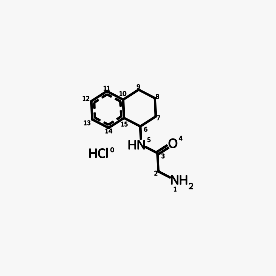 Cl.NCC(=O)NC1CCCc2ccccc21